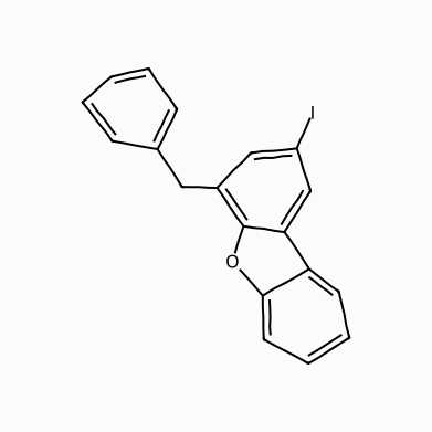 Ic1cc(Cc2ccccc2)c2oc3ccccc3c2c1